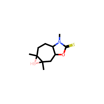 CN1C(=S)OC2CC3(C)BC3(C)CCC21